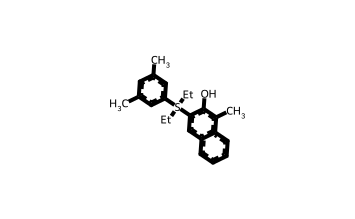 CCS(CC)(c1cc(C)cc(C)c1)c1cc2ccccc2c(C)c1O